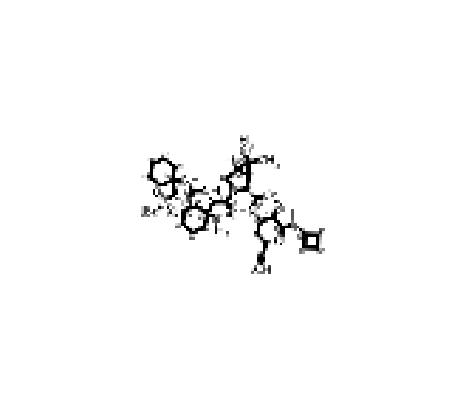 C#CCCC(NC(=O)[C@@H]1C2[C@H](CN1C(=O)[C@@H](NC(=O)NC1(CS(=O)(=O)C(C)(C)C)CCCCC1)C1(C)CCCCC1)C2(C)C)C(=O)C(=O)NC1CCC1